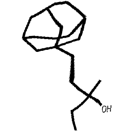 CCC(C)(O)CCC12CC3CC(CC(C3)C1)C2